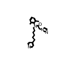 Cc1cccc(C)c1N(CCCCCCc1ccncc1)C(=O)Cn1ccnc1